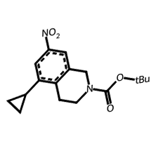 CC(C)(C)OC(=O)N1CCc2c(cc([N+](=O)[O-])cc2C2CC2)C1